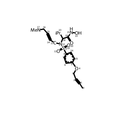 CC#CCOc1ccc(S(=O)(=O)N(CC#CCNC)C(C(=O)NO)C(C)C)cc1